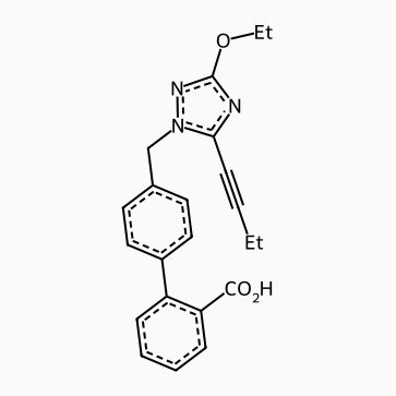 CCC#Cc1nc(OCC)nn1Cc1ccc(-c2ccccc2C(=O)O)cc1